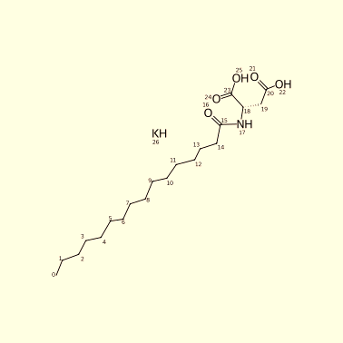 CCCCCCCCCCCCCCCC(=O)N[C@@H](CC(=O)O)C(=O)O.[KH]